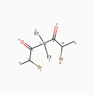 CC[Si](CC)(C(=O)C(C)Br)C(=O)C(C)Br